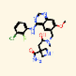 COc1cc2ncnc(Nc3cccc(Cl)c3F)c2cc1CN(C)C(O)CC1(C(N)=O)CNC1